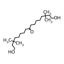 CC(C)(CCO)CCCCCC(=O)CCCCCC(C)(C)CCO